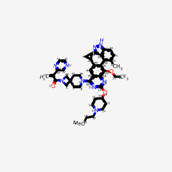 C=C(C(=O)N1CC2(CCN(c3nc(OC4CCN(CCOC)CC4)nc4c(OCC(F)(F)F)c(-c5c(C)ccc6[nH]ncc56)c(C5CC5)cc34)CC2)C1)c1cnccn1